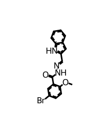 COc1ccc(Br)cc1C(=O)NN=Cc1cc2ccccc2[nH]1